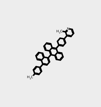 Cc1ccc(-c2ccc(-c3c4ccccc4c(C4=CC=C(c5cccnc5C)CC4)c4ccccc34)c3ccccc23)cc1